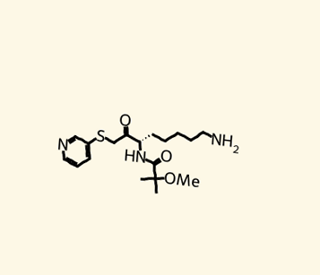 COC(C)(C)C(=O)N[C@@H](CCCCCN)C(=O)CSc1cccnc1